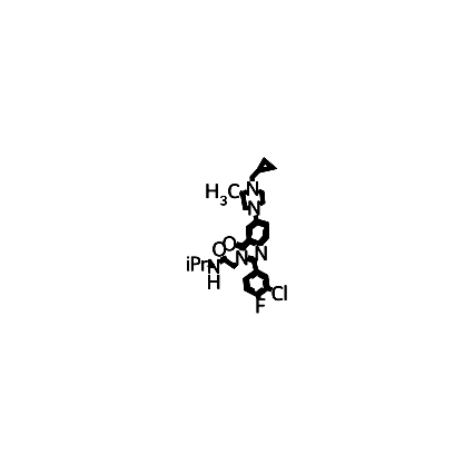 CC(C)NC(=O)Cn1c(-c2ccc(F)c(Cl)c2)nc2ccc(N3CCN(CC4CC4)C(C)C3)cc2c1=O